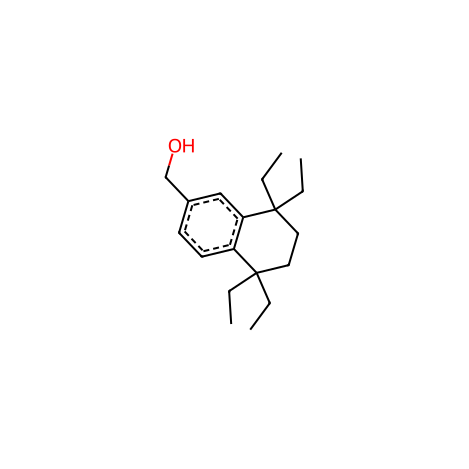 CCC1(CC)CCC(CC)(CC)c2cc(CO)ccc21